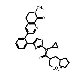 CN1CCc2cc(-c3ccccc3-c3csc(N(C(=O)C(CC(=O)O)CC4CCCC4)C4CC4)n3)cnc2C1=O